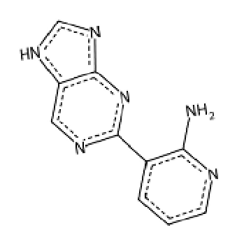 Nc1ncccc1-c1ncc2[nH]cnc2n1